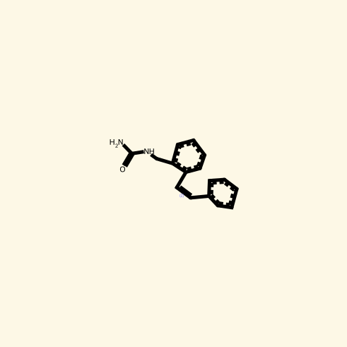 NC(=O)NCc1ccccc1/C=C\c1ccccc1